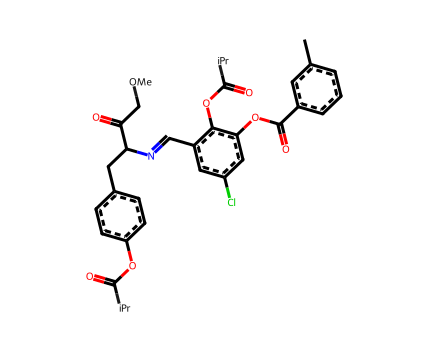 COCC(=O)C(Cc1ccc(OC(=O)C(C)C)cc1)N=Cc1cc(Cl)cc(OC(=O)c2cccc(C)c2)c1OC(=O)C(C)C